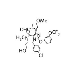 COC1CC(C=O)N(c2nc(Oc3cccc(OC(F)(F)F)c3)n(Cc3ccc(Cl)cc3)c2C(=O)N(C)CCCO)C1